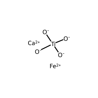 [Ca+2].[Fe+2].[O-][Ti]([O-])([O-])[O-]